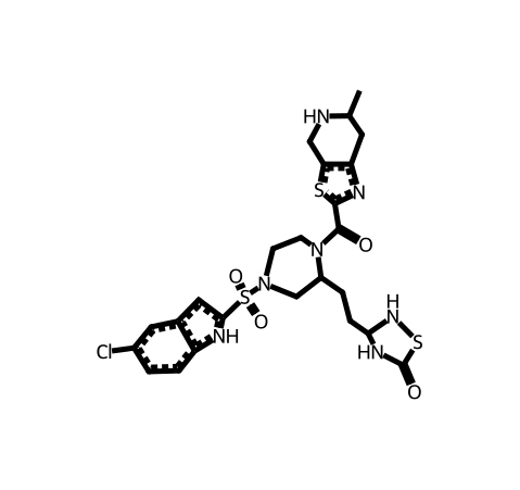 CC1Cc2nc(C(=O)N3CCN(S(=O)(=O)c4cc5cc(Cl)ccc5[nH]4)CC3CCC3NSC(=O)N3)sc2CN1